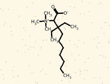 CCCCCCCC(CC)(CC)C(C(=O)[O-])[N+](C)(C)C